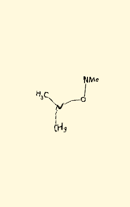 CNON(C)C